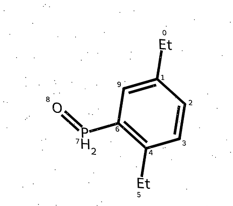 CCc1ccc(CC)c([PH2]=O)c1